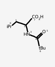 CC(C)CC(NC(=O)C(C)(C)C)C(=O)O